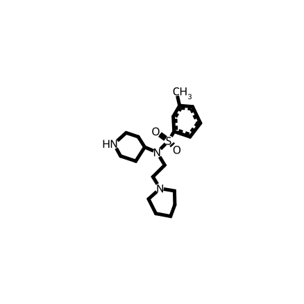 Cc1cccc(S(=O)(=O)N(CCN2CCCCC2)C2CCNCC2)c1